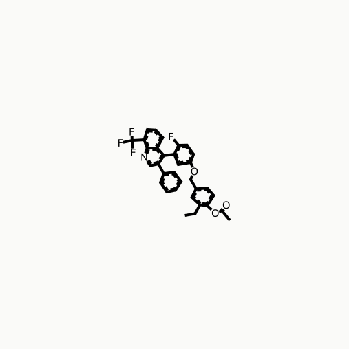 CCc1cc(COc2ccc(F)c(-c3c(-c4ccccc4)cnc4c(C(F)(F)F)cccc34)c2)ccc1OC(C)=O